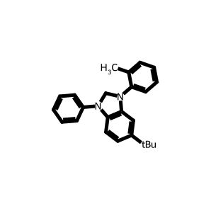 Cc1ccccc1N1CN(c2ccccc2)c2ccc(C(C)(C)C)cc21